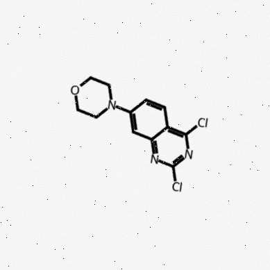 Clc1nc(Cl)c2ccc(N3CCOCC3)cc2n1